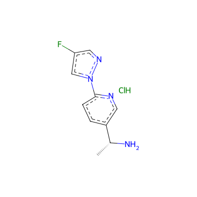 C[C@@H](N)c1ccc(-n2cc(F)cn2)nc1.Cl